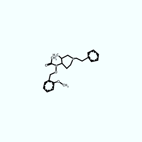 COc1ccccc1CON(C(C)=O)C1CCN(CCc2ccccc2)CC1C